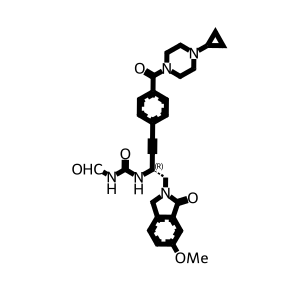 COc1ccc2c(c1)C(=O)N(C[C@@H](C#Cc1ccc(C(=O)N3CCN(C4CC4)CC3)cc1)NC(=O)NC=O)C2